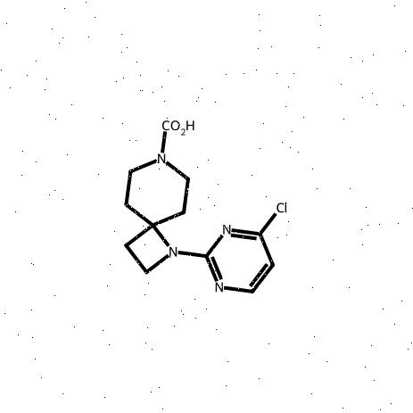 O=C(O)N1CCC2(CC1)CCN2c1nccc(Cl)n1